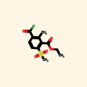 CCOC(=O)c1c(S(C)(=O)=O)ccc(C(=O)Cl)c1C